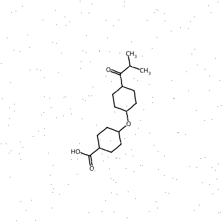 CC(C)C(=O)C1CCC(OC2CCC(C(=O)O)CC2)CC1